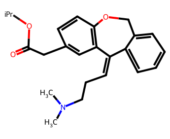 CC(C)OC(=O)Cc1ccc2c(c1)C(=CCCN(C)C)c1ccccc1CO2